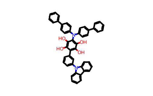 Oc1c(O)c(N(c2ccc(-c3ccccc3)cc2)c2ccc(-c3ccccc3)cc2)c(O)c(O)c1-c1cccc(-n2c3ccccc3c3ccccc32)c1